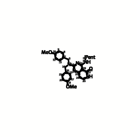 CCCC(C)Nc1nc(N(Cc2ccc(OC)cc2)Cc2ccc(OC)cc2)nc2cc[nH]c(=O)c12